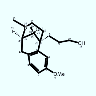 COc1ccc2c(c1)[C@]1(CCCO)CCN(C)[C@H](C2)[C@]1(C)O